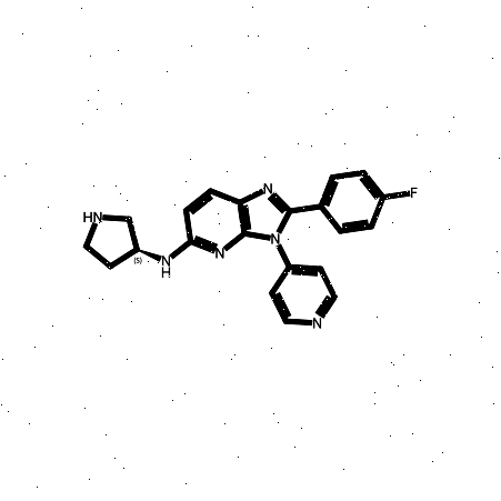 Fc1ccc(-c2nc3ccc(N[C@H]4CCNC4)nc3n2-c2ccncc2)cc1